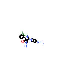 NC1CC2CN(c3cnc(-c4cccc(Cl)c4Cl)c4c3CNC4=O)CC2C1